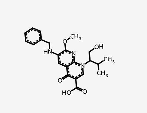 COc1nc2c(cc1NCc1ccccc1)c(=O)c(C(=O)O)cn2C(CO)C(C)C